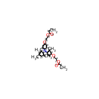 C=CC(=O)OCCCOc1ccc(N(c2ccc(C)cc2C)c2ccc(OCCCOC(=O)C=C)cc2C)c(C)c1